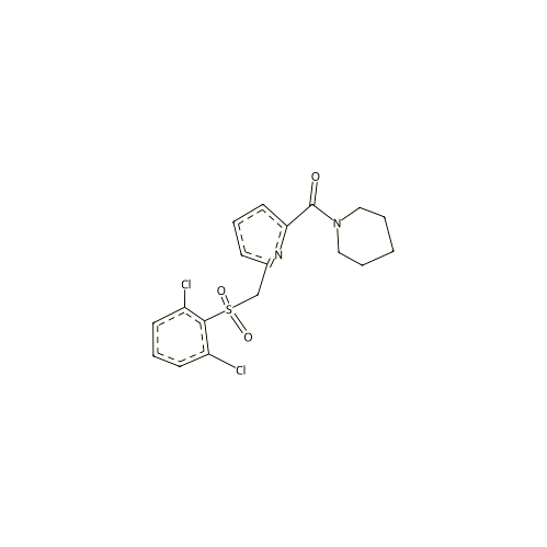 O=C(c1cccc(CS(=O)(=O)c2c(Cl)cccc2Cl)n1)N1CCCCC1